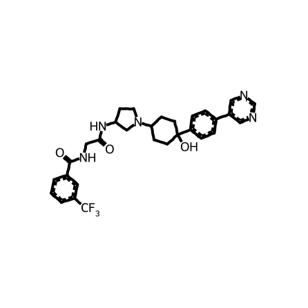 O=C(CNC(=O)c1cccc(C(F)(F)F)c1)NC1CCN(C2CCC(O)(c3ccc(-c4cncnc4)cc3)CC2)C1